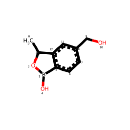 CC1OB(O)c2ccc(CO)cc21